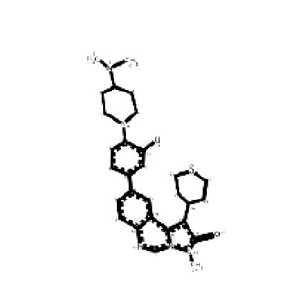 CN(C)C1CCN(c2ccc(-c3ccc4ncn5c(c(C6CCOCC6)c(=O)n5C)c4c3)cc2Cl)CC1